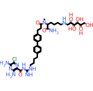 CN(C(=O)CCc1ccc(-c2ccc(CCCCNC(=N)NC(=O)c3nc(Cl)c(N)nc3N)cc2)cc1)C(CCCCNC[C@H](O)[C@@H](O)[C@H](O)[C@H](O)CO)C(N)=O